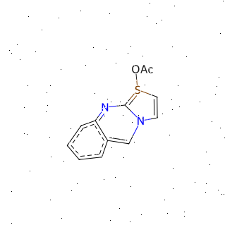 CC(=O)OS1=C2N=c3ccccc3=CN2C=C1